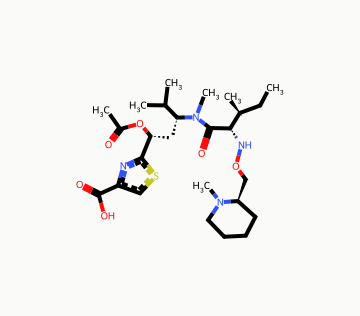 CC[C@H](C)[C@H](NOC[C@H]1CCCCN1C)C(=O)N(C)[C@H](C[C@@H](OC(C)=O)c1nc(C(=O)O)cs1)C(C)C